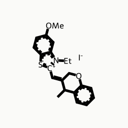 CCn1c2cc(OC)ccc2s[c+]1C=C1COc2ccccc2C1C.[I-]